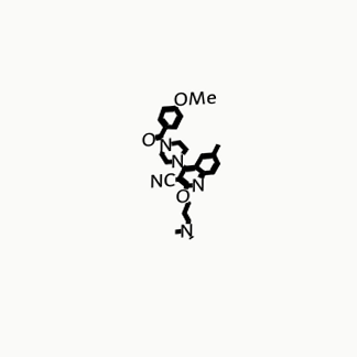 COc1ccc(C(=O)N2CCN(c3c(C#N)c(OCCCN(C)C)nc4ccc(C)cc34)CC2)cc1